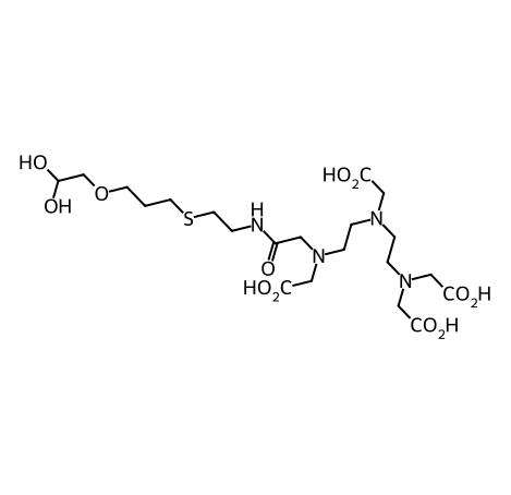 O=C(O)CN(CCN(CC(=O)O)CC(=O)O)CCN(CC(=O)O)CC(=O)NCCSCCCOCC(O)O